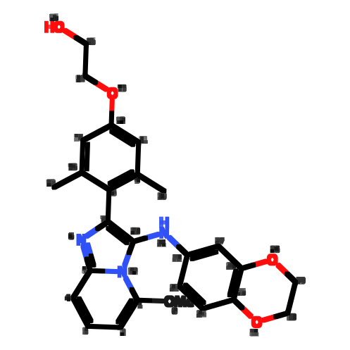 COc1cccc2nc(-c3c(C)cc(OCCO)cc3C)c(Nc3ccc4c(c3)OCCO4)n12